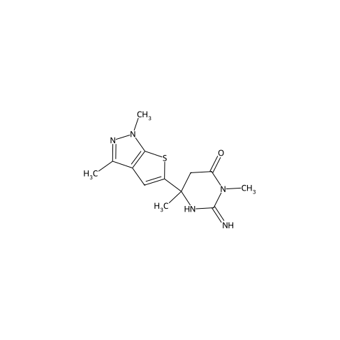 Cc1nn(C)c2sc(C3(C)CC(=O)N(C)C(=N)N3)cc12